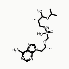 CC(C)OC(O)[C@@H](C)CNP(=O)(O)CO[C@H](C)Cn1cnc2c(N)ncnc21